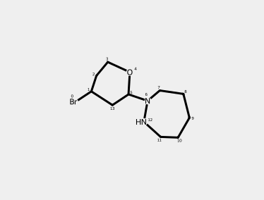 BrC1CCOC(N2CCCCCN2)C1